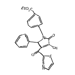 CCOC(=O)c1ccc(N2C(=O)C(O)=C(C(=O)c3nccs3)C2c2ccccc2)cc1